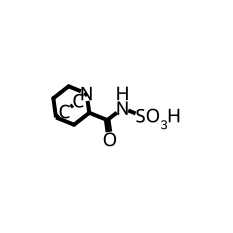 O=C(NS(=O)(=O)O)C1CC2CCN1CC2